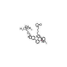 C[Si](C)(C)CCOCn1ncc2cc(-c3cccc(C(N)=O)c3-c3nc(CCCCN4CCCC4=O)cn3-c3ccccc3)ccc21